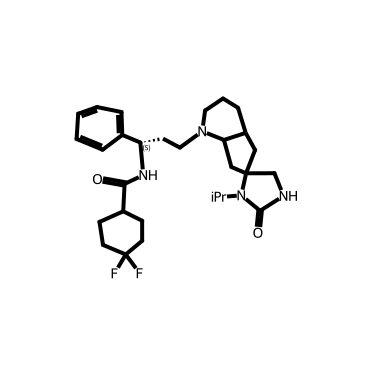 CC(C)N1C(=O)NCC12CC1CCCN(CC[C@H](NC(=O)C3CCC(F)(F)CC3)c3ccccc3)C1C2